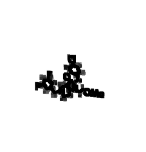 COCCn1c2c(c(=O)n1Cc1ccc(Cl)cc1)CN(Cc1cc(F)cc(F)c1)CC2